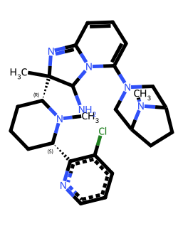 CN1C2CCC1CN(C1=CC=CC3=NC(C)([C@H]4CCC[C@@H](c5ncccc5Cl)N4C)C(N)N13)C2